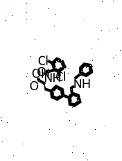 O=C(N[C@@H](Cc1ccc(-c2ccccc2CNCc2ccccc2)cc1)C(=O)O)c1c(Cl)cccc1Cl